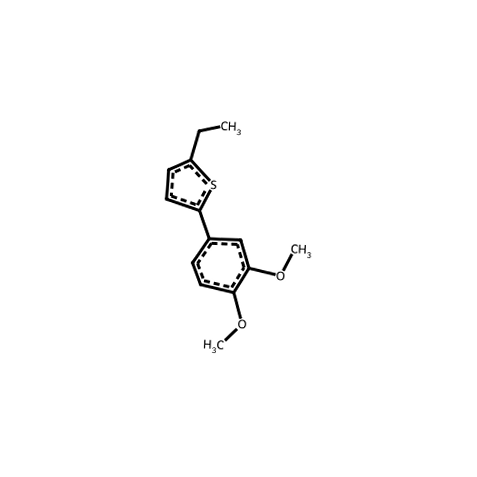 CCc1ccc(-c2ccc(OC)c(OC)c2)s1